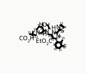 CCOC(=O)C1=C(CN2CCO[C@H]3CCN(CC(C)(C)C(=O)O)C[C@H]32)NC(c2nccs2)=N[C@H]1c1cccc(F)c1C